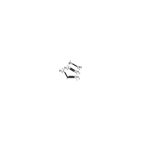 C=C.C=CC.CC(C)O